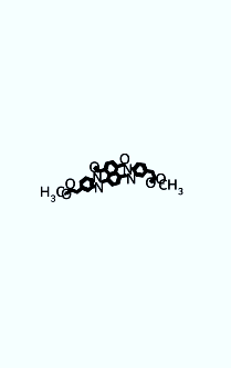 COC(=O)Cc1ccc2c(c1)nc1c3ccc4c5c(ccc(c(=O)n21)c35)c(=O)n1c2ccc(CC(=O)OC)cc2nc41